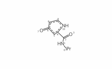 CC(C)NC(=O)c1cc(=O)cc[nH]1